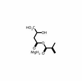 C=C(C)C(=O)OC(=O)CC(O)C(=O)O.[MgH2]